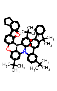 CC(C)(C)c1ccc2c(c1)B1c3c(cc(C(C)(C)C)cc3N2c2ccc(C(C)(C)C)cc2-c2ccc3c(c2)C(C)(C)c2ccccc2-3)Oc2ccc3c(oc4ccc5c(c43)CCC5)c21